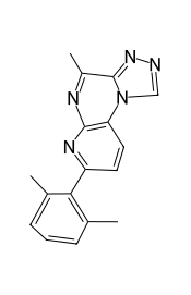 Cc1cccc(C)c1-c1ccc2c(n1)nc(C)c1nncn12